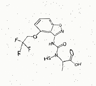 CC(C(=O)O)N(S)C(=O)Nc1noc2cccc(OCC(F)(F)F)c12